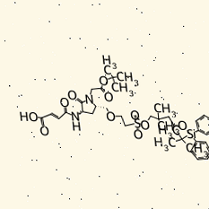 CC(C)(CCO[Si](c1ccccc1)(c1ccccc1)C(C)(C)C)COS(=O)(=O)CCOC[C@@H]1C[C@@H](NC(=O)C=CC(=O)O)C(=O)N1CC(=O)OC(C)(C)C